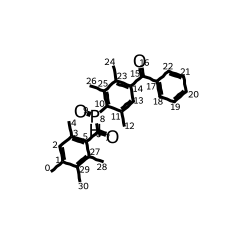 Cc1cc(C)c(C(=O)[PH](=O)c2c(C)cc(C(=O)c3ccccc3)c(C)c2C)c(C)c1C